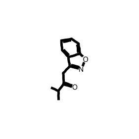 CC(C)C(=O)Cc1noc2ccccc12